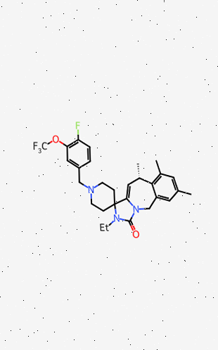 CCN1C(=O)N2Cc3cc(C)cc(C)c3[C@@H](C)C=C2C12CCN(Cc1ccc(F)c(OC(F)(F)F)c1)CC2